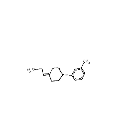 Cc1cccc(C2CCC(=CC[SiH3])CC2)c1